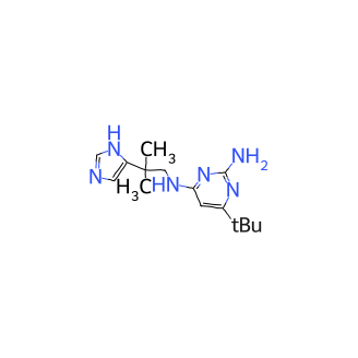 CC(C)(C)c1cc(NCC(C)(C)c2cnc[nH]2)nc(N)n1